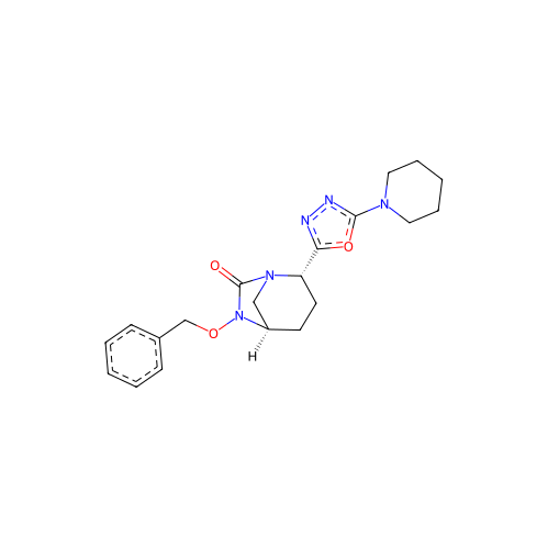 O=C1N2C[C@@H](CC[C@H]2c2nnc(N3CCCCC3)o2)N1OCc1ccccc1